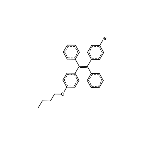 CCCCOc1ccc(/C(=C(\c2ccccc2)c2ccc(Br)cc2)c2ccccc2)cc1